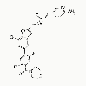 Nc1ccc(/C=C/C(=O)NCc2cc3cc(-c4cc(F)c(C(=O)N5CCOCC5)cc4F)cc(Cl)c3o2)cn1